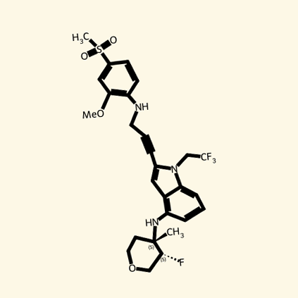 COc1cc(S(C)(=O)=O)ccc1NCC#Cc1cc2c(N[C@@]3(C)CCOC[C@H]3F)cccc2n1CC(F)(F)F